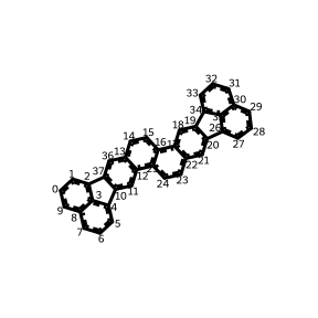 c1cc2c3c(cccc3c1)-c1cc3c(ccc4c5cc6c(cc5ccc34)-c3cccc4cccc-6c34)cc1-2